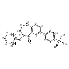 O=C1c2cc(-c3ccc(C(F)(F)F)nc3)ccc2OCCN1CC1N=CC=CN1